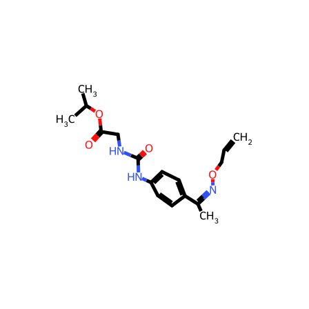 C=CCO/N=C(/C)c1ccc(NC(=O)NCC(=O)OC(C)C)cc1